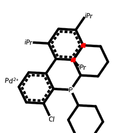 CC(C)c1cc(C(C)C)c(-c2cccc(Cl)c2P(C2CCCCC2)C2CCCCC2)c(C(C)C)c1.[Pd+2]